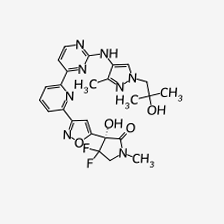 Cc1nn(CC(C)(C)O)cc1Nc1nccc(-c2cccc(-c3cc([C@@]4(O)C(=O)N(C)CC4(F)F)on3)n2)n1